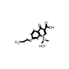 C[As](C)n1cc(C(=O)O)c(=O)c2ccc(OCCN)cc21.Cl